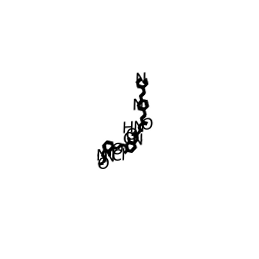 COc1nc2c(OCc3c(Cl)ccc(N(C)C(=O)CNC(=O)C=Cc4ccc(C=Cc5ccncc5)nc4)c3Cl)cccc2n1C